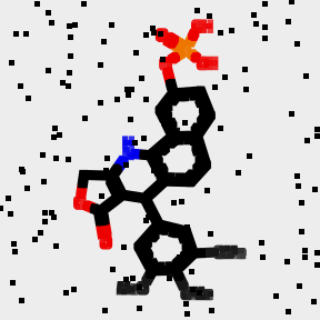 COc1cc(C2C3=C(COC3=O)Nc3c2ccc2ccc(OP(=O)(O)O)cc32)cc(OC)c1OC